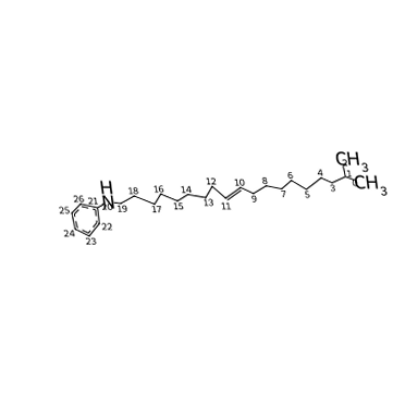 CC(C)CCCCCCCC=CCCCCCCCCNc1ccccc1